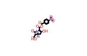 C[C@@H](O)[C@H]1C(=O)N2C(C(=O)OC(=O)c3ccc([N+](=O)[O-])cc3)=C(O)C[C@H]12